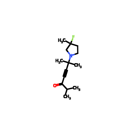 CC(C)C(=O)C#CC(C)(C)N1CCC(C)(F)C1